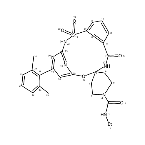 CCNC(=O)N1CCC2(CC1)NC(=O)c1cccc(c1)S(=O)(=O)Nc1nc(cc(-c3c(C)cccc3C)n1)O2